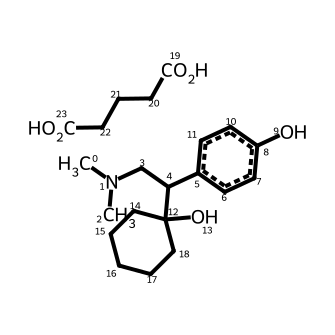 CN(C)CC(c1ccc(O)cc1)C1(O)CCCCC1.O=C(O)CCCC(=O)O